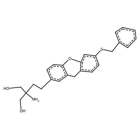 NC(CO)(CO)CCc1ccc2c(c1)Cc1ccc(SCc3ccccc3)cc1O2